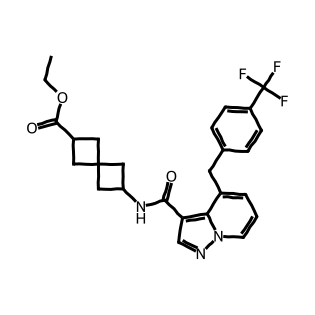 CCOC(=O)C1CC2(CC(NC(=O)c3cnn4cccc(Cc5ccc(C(F)(F)F)cc5)c34)C2)C1